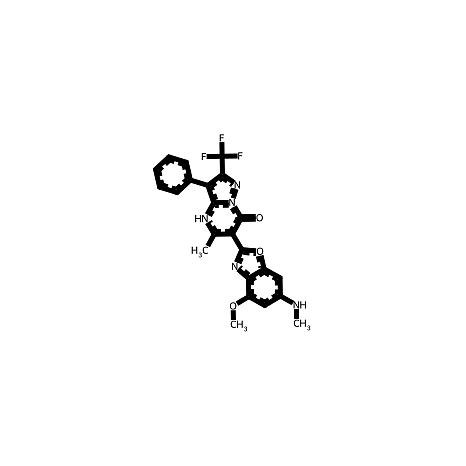 CNc1cc(OC)c2nc(-c3c(C)[nH]c4c(-c5ccccc5)c(C(F)(F)F)nn4c3=O)oc2c1